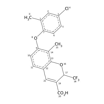 Cc1cc(Cl)ccc1Oc1ccc2c(c1C)OC(C(F)(F)F)C(C(=O)O)=C2